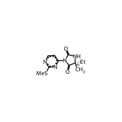 CC[C@@]1(C)NC(=O)N(c2ccnc(SC)n2)C1=O